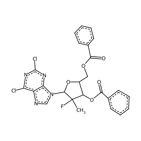 CC1(F)C(OC(=O)c2ccccc2)C(COC(=O)c2ccccc2)OC1n1cnc2c(Cl)nc(Cl)nc21